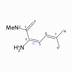 C=C(NC)/C(N)=C\C=C(C)C